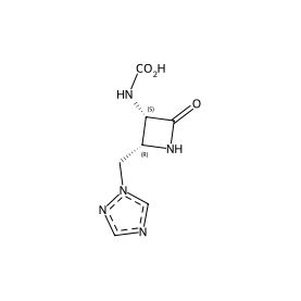 O=C(O)N[C@@H]1C(=O)N[C@@H]1Cn1cncn1